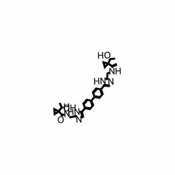 C=C(NCc1ncc(-c2ccc(-c3ccc(-c4cnc(CNC(=O)C5(C(C)O)CC5)[nH]4)cc3)cc2)[nH]1)C1(C(C)O)CC1